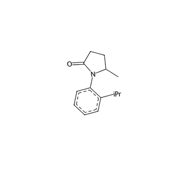 CC(C)c1ccccc1N1C(=O)CCC1C